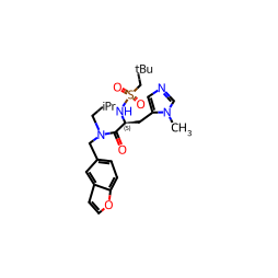 CC(C)CN(Cc1ccc2occc2c1)C(=O)[C@H](Cc1cncn1C)NS(=O)(=O)CC(C)(C)C